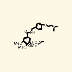 COc1cc(C(=O)NCc2ccc(OCCN(C)C)cc2)cc(OC)c1OC.CS(=O)(=O)O